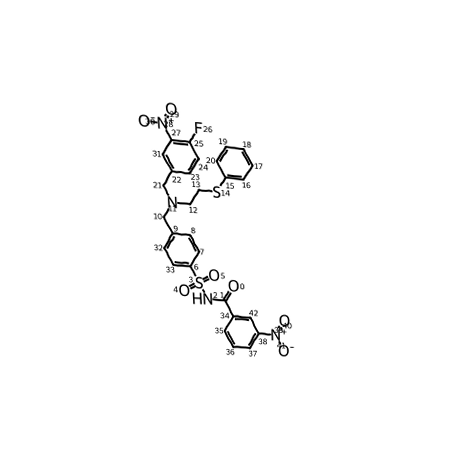 O=C(NS(=O)(=O)c1ccc(CN(CCSc2ccccc2)Cc2ccc(F)c([N+](=O)[O-])c2)cc1)c1cccc([N+](=O)[O-])c1